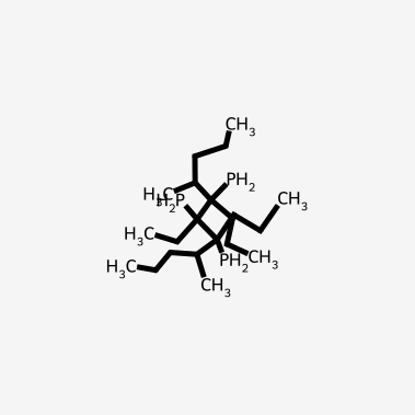 CCCC(C)C(P)(CCC)C(P)(CC)C(P)(CCC)C(C)CCC